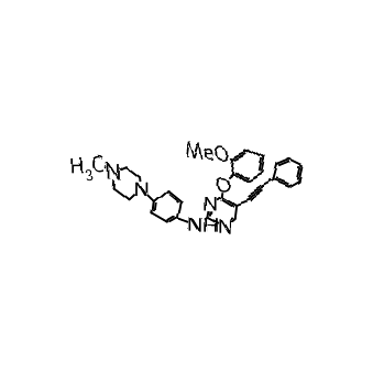 COc1ccccc1Oc1nc(Nc2ccc(N3CCN(C)CC3)cc2)ncc1C#Cc1ccccc1